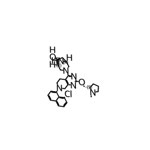 CN1CCC[C@H]1COc1nc2c(c(N3C[C@H]4C[C@H](O)[C@@H](C3)N4)n1)CCN(c1cccc3cccc(Cl)c13)C2